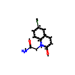 NC(=O)Cn1c(=O)ccc2cc(F)ccc21